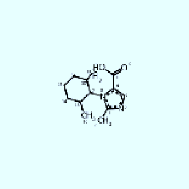 Cc1ncc(C(=O)O)n1C1C(C)CCCC1C